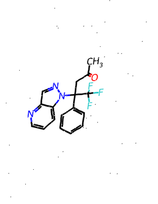 CC(=O)CC(c1ccccc1)(n1ncc2ncccc21)C(F)(F)F